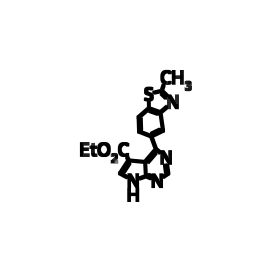 CCOC(=O)c1c[nH]c2ncnc(-c3ccc4sc(C)nc4c3)c12